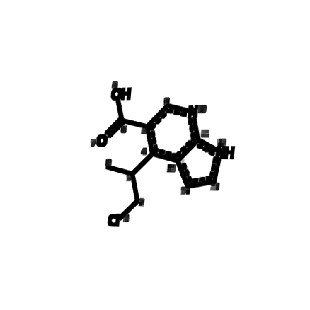 CC(CCl)c1c(C(=O)O)cnc2[nH]ccc12